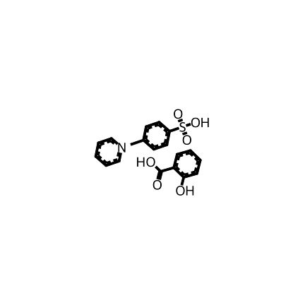 Cc1ccc(S(=O)(=O)O)cc1.O=C(O)c1ccccc1O.c1ccncc1